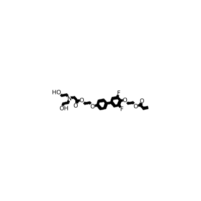 C=CC(=O)OCCOc1c(F)cc(-c2ccc(OCCOC(=O)CN(CCO)CCO)cc2)cc1F